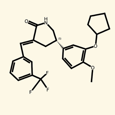 COc1ccc([C@H]2CNC(=O)C(=Cc3cccc(C(F)(F)F)c3)C2)cc1OC1CCCC1